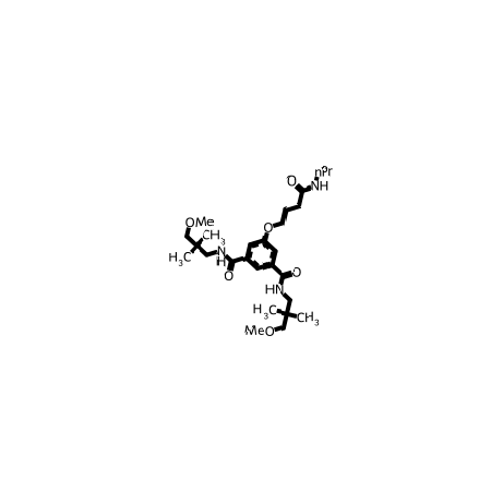 CCCNC(=O)CCCOc1cc(C(=O)NCC(C)(C)COC)cc(C(=O)NCC(C)(C)COC)c1